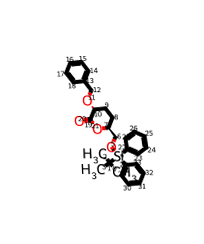 CC(C)(C)[Si](OC[C@@H]1CC[C@@H](OCc2ccccc2)C(=O)O1)(c1ccccc1)c1ccccc1